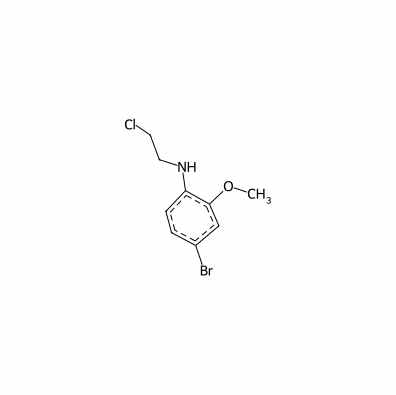 COc1cc(Br)ccc1NCCCl